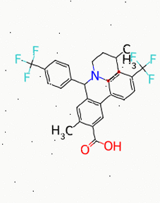 Cc1cc(C(c2ccc(C(F)(F)F)cc2)N2CCC(C)CC2)c(-c2ccc(C(F)(F)F)cc2)cc1C(=O)O